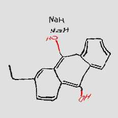 CCc1ccc2c(O)c3ccccc3c(O)c2c1.[NaH].[NaH]